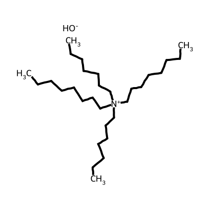 CCCCCCCC[N+](CCCCCCC)(CCCCCCC)CCCCCCCC.[OH-]